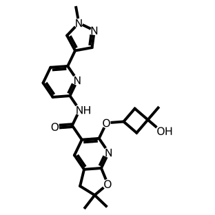 Cn1cc(-c2cccc(NC(=O)c3cc4c(nc3OC3CC(C)(O)C3)OC(C)(C)C4)n2)cn1